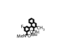 CNC(=O)c1cc(F)cc(-c2c([C@H](OC(C)(C)C)C(C)=O)c(C)cc3ccccc23)c1